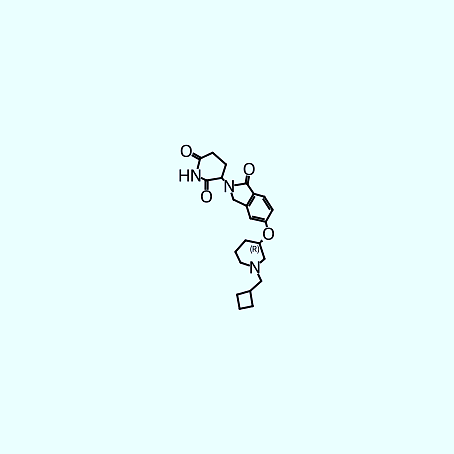 O=C1CCC(N2Cc3cc(O[C@@H]4CCCN(CC5CCC5)C4)ccc3C2=O)C(=O)N1